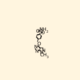 Cn1ncc2c(OCc3ccc(S(N)(=O)=O)cc3)ncnc21